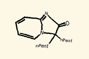 CCCCCC1(CCCCC)C(=O)N=C2C=CC=CN21